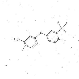 Bc1cc(Oc2ccc(C)c(C(F)(F)F)c2)ccc1C